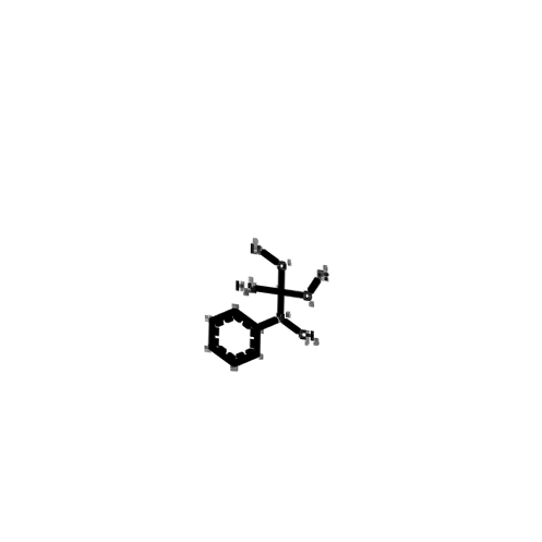 CCOC([SiH3])(OCC)N(C)c1ccccc1